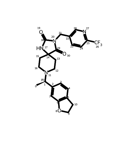 C[C@H](c1ccc2c(c1)OCC2)N1CCC2(CC1)NC(=O)N(Cc1ccc(C(F)(F)F)nc1)C2=O